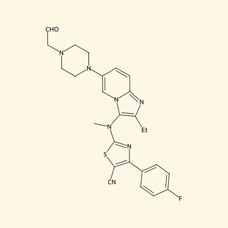 CCc1nc2ccc(N3CCN(CC=O)CC3)cn2c1N(C)c1nc(-c2ccc(F)cc2)c(C#N)s1